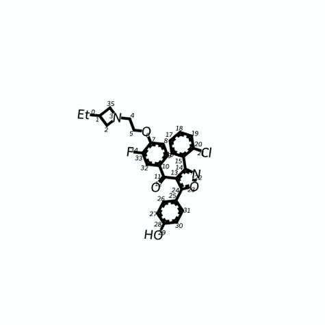 CCC1CN(CCOc2ccc(C(=O)c3c(-c4ccccc4Cl)noc3-c3ccc(O)cc3)cc2F)C1